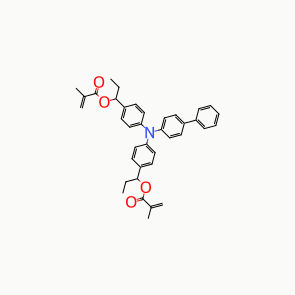 C=C(C)C(=O)OC(CC)c1ccc(N(c2ccc(-c3ccccc3)cc2)c2ccc(C(CC)OC(=O)C(=C)C)cc2)cc1